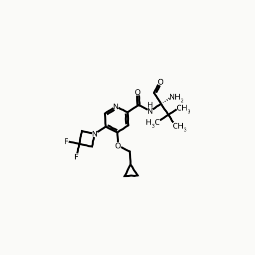 CC(C)(C)[C@](N)(C=O)NC(=O)c1cc(OCC2CC2)c(N2CC(F)(F)C2)cn1